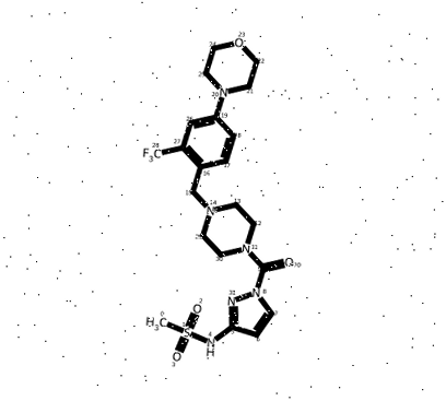 CS(=O)(=O)Nc1ccn(C(=O)N2CCN(Cc3ccc(N4CCOCC4)cc3C(F)(F)F)CC2)n1